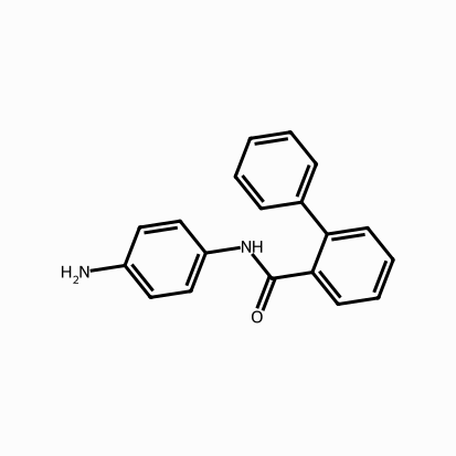 Nc1ccc(NC(=O)c2ccccc2-c2ccccc2)cc1